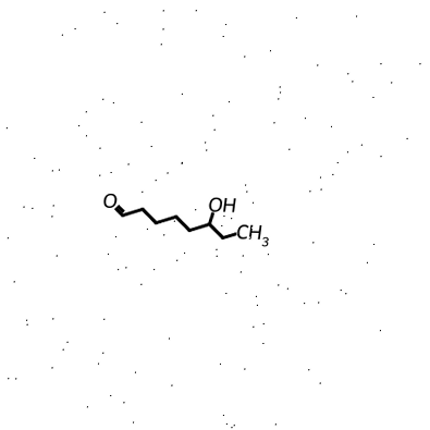 CCC(O)CCCCC=O